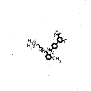 Cc1cccc2c(NCCCN(C)C)nc(-c3ccc(-c4cc(F)cc(C(F)(F)F)c4)cc3)nc12